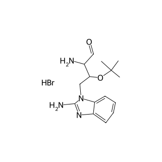 Br.CC(C)(C)OC(Cn1c(N)nc2ccccc21)C(N)C=O